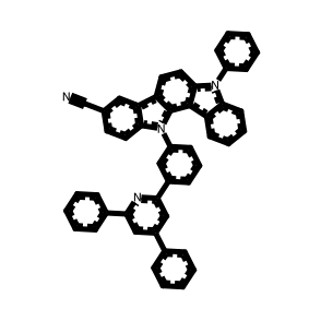 N#Cc1ccc2c(c1)c1ccc3c(c4ccccc4n3-c3ccccc3)c1n2-c1cccc(-c2cc(-c3ccccc3)cc(-c3ccccc3)n2)c1